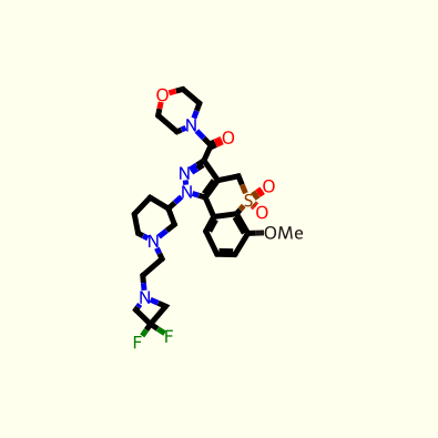 COc1cccc2c1S(=O)(=O)Cc1c(C(=O)N3CCOCC3)nn(C3CCCN(CCN4CC(F)(F)C4)C3)c1-2